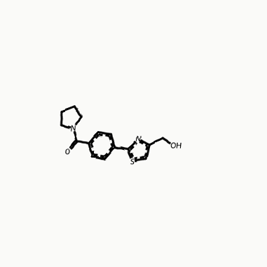 O=C(c1ccc(-c2nc(CO)cs2)cc1)N1CCCC1